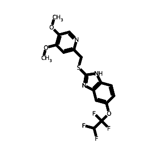 COc1cnc(CSc2nc3cc(OC(F)(F)C(F)F)ccc3[nH]2)cc1OC